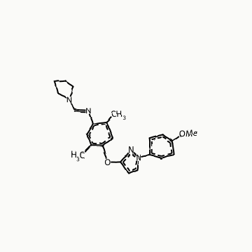 COc1ccc(-n2ccc(Oc3cc(C)c(/N=C/N4CCCC4)cc3C)n2)cc1